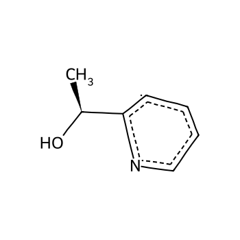 C[C@H](O)c1[c]cccn1